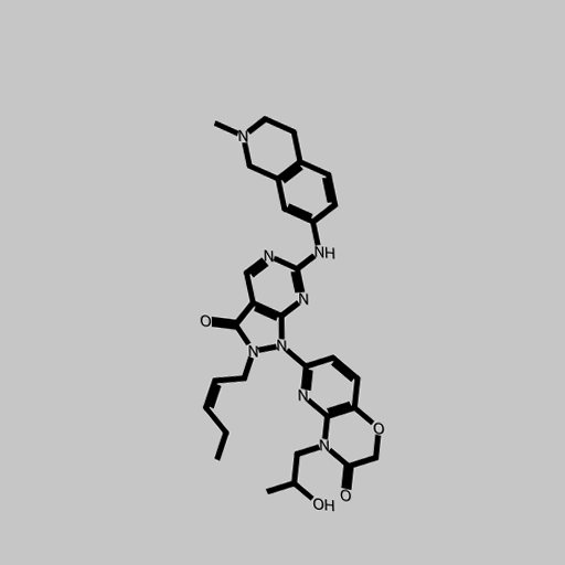 CC/C=C\Cn1c(=O)c2cnc(Nc3ccc4c(c3)CN(C)CC4)nc2n1-c1ccc2c(n1)N(CC(C)O)C(=O)CO2